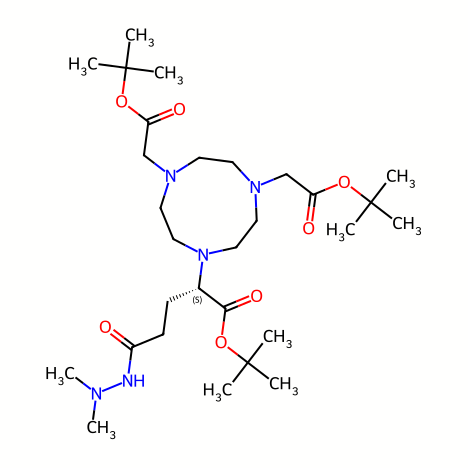 CN(C)NC(=O)CC[C@@H](C(=O)OC(C)(C)C)N1CCN(CC(=O)OC(C)(C)C)CCN(CC(=O)OC(C)(C)C)CC1